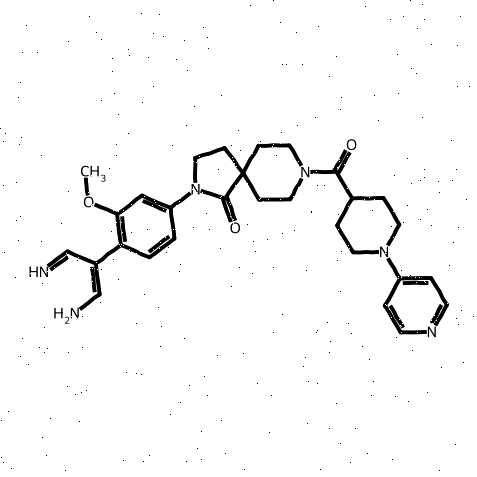 COc1cc(N2CCC3(CCN(C(=O)C4CCN(c5ccncc5)CC4)CC3)C2=O)ccc1/C(C=N)=C/N